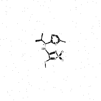 C=C(C)[C@@H](NC1=NS(=O)(=O)N=C1OC)c1ccc(C)o1